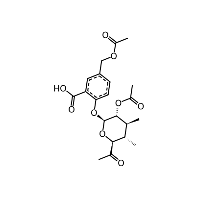 CC(=O)OCc1ccc(O[C@@H]2O[C@H](C(C)=O)[C@@H](C)[C@H](C)[C@H]2OC(C)=O)c(C(=O)O)c1